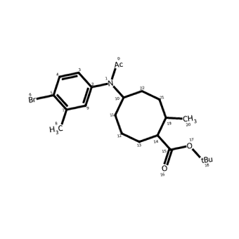 CC(=O)N(c1ccc(Br)c(C)c1)C1CCCC(C(=O)OC(C)(C)C)C(C)CC1